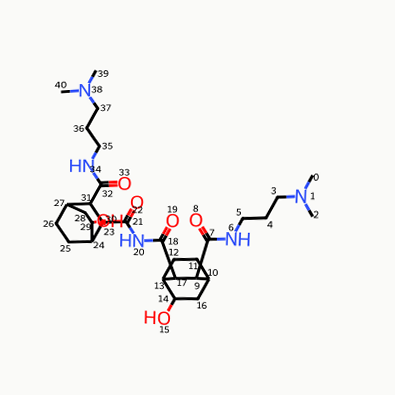 CN(C)CCCNC(=O)C1C2CCC(C(O)C2)C1C(=O)NC(=O)C1C2CCC(CC2O)C1C(=O)NCCCN(C)C